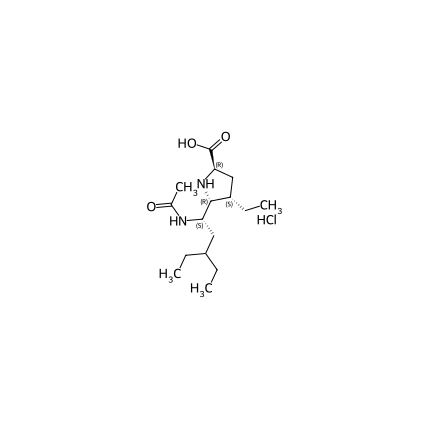 CCC(CC)C[C@H](NC(C)=O)[C@@H]1N[C@@H](C(=O)O)C[C@@H]1CC.Cl